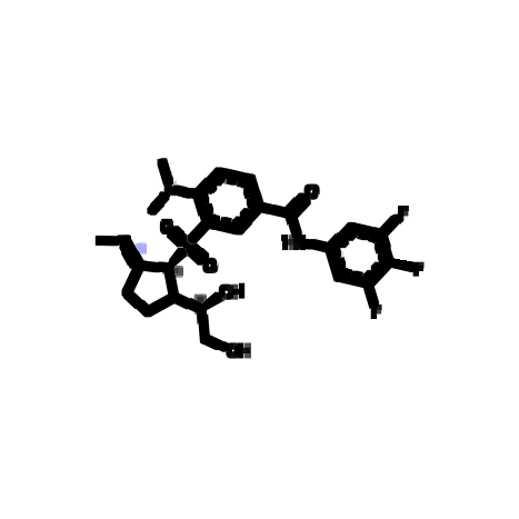 C/C=C1\CCC([C@@H](O)CO)[C@@H]1S(=O)(=O)c1cc(C(=O)Nc2cc(F)c(F)c(F)c2)ccc1N(C)C